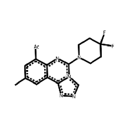 CC(=O)c1cc(C)cc2c1nc(N1CCC(F)(F)CC1)n1cnnc21